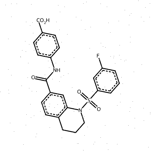 O=C(O)c1ccc(NC(=O)c2ccc3c(c2)N(S(=O)(=O)c2cccc(F)c2)CCC3)cc1